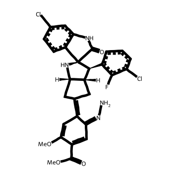 COC(=O)C1=CC(=N/N)/C(=C2\C[C@@H]3[C@H](C2)N[C@@]2(C(=O)Nc4cc(Cl)ccc42)[C@H]3c2cccc(Cl)c2F)C=C1OC